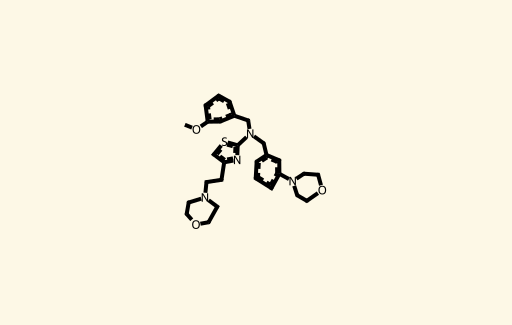 COc1cccc(CN(Cc2cccc(N3CCOCC3)c2)c2nc(CCN3CCOCC3)cs2)c1